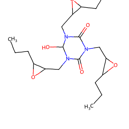 CCCC1OC1CN1C(=O)N(CC2OC2CCC)C(O)N(CC2OC2CCC)C1=O